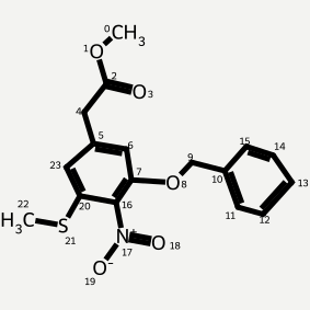 COC(=O)Cc1cc(OCc2ccccc2)c([N+](=O)[O-])c(SC)c1